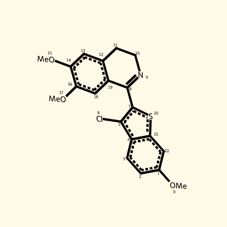 COc1ccc2c(Cl)c(C3=NCCc4cc(OC)c(OC)cc43)sc2c1